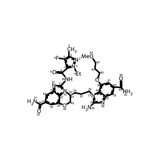 CCn1nc(C)c(F)c1C(=O)Nc1nc2cc(C(N)=O)cc3c2n1[C@@H](CCCn1c(N)nc2cc(C(N)=O)cc(OCCCOC)c21)CO3